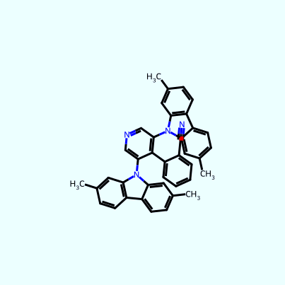 Cc1ccc2c3ccc(C)cc3n(-c3cncc(-n4c5cc(C)ccc5c5ccc(C)cc54)c3-c3ccccc3C#N)c2c1